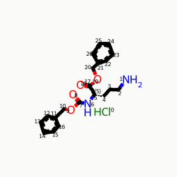 Cl.NCCC[C@H](NC(=O)OCc1ccccc1)C(=O)OCc1ccccc1